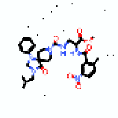 COC(=O)C(CNC(=O)N1CCC2(CC1)C(=O)N(CC(C)C)CN2c1ccccc1)NC(=O)c1cc([N+](=O)[O-])ccc1C